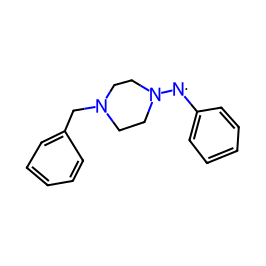 c1ccc(CN2CCN([N]c3ccccc3)CC2)cc1